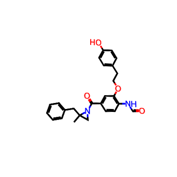 CC1(Cc2ccccc2)CN1C(=O)c1ccc(NC=O)c(OCCc2ccc(O)cc2)c1